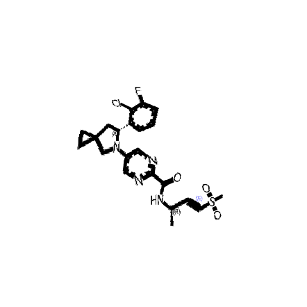 C[C@H](/C=C/S(C)(=O)=O)NC(=O)c1ncc(N2CC3(CC3)C[C@@H]2c2cccc(F)c2Cl)cn1